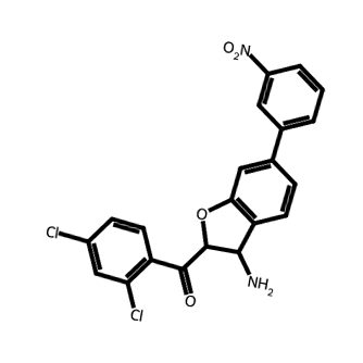 NC1c2ccc(-c3cccc([N+](=O)[O-])c3)cc2OC1C(=O)c1ccc(Cl)cc1Cl